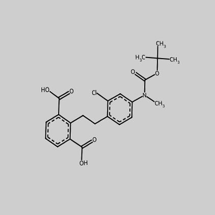 CN(C(=O)OC(C)(C)C)c1ccc(CCc2c(C(=O)O)cccc2C(=O)O)c(Cl)c1